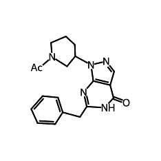 CC(=O)N1CCCC(n2ncc3c(=O)[nH]c(Cc4ccccc4)nc32)C1